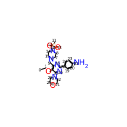 CCOc1c(CN2CCN(S(C)(=O)=O)CC2)nc(-c2ccc(N)cc2)nc1N1CCOCC1